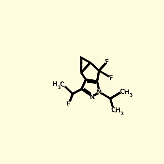 CC(F)c1nn(C(C)C)c2c1C1CC1C2(F)F